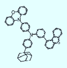 c1cc(-c2cccc3sc4ccccc4c23)cc(N(c2ccc(N3c4ccccc4Oc4ccccc43)cc2)c2ccc(C34CC5CC(CC(C5)C3)C4)cc2)c1